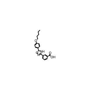 CCCCCOc1ccc(C2NC(c3cccc(C(=O)O)c3)=NO2)cc1